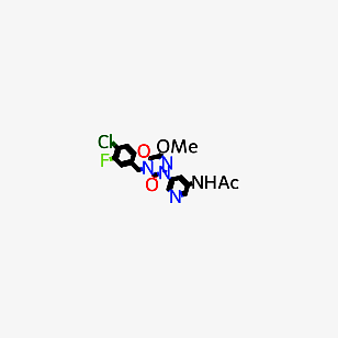 COc1nn(-c2cncc(NC(C)=O)c2)c(=O)n(Cc2ccc(Cl)c(F)c2)c1=O